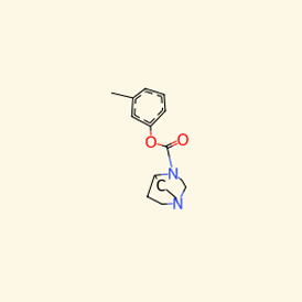 Cc1cccc(OC(=O)N2CCN3CCC2CC3)c1